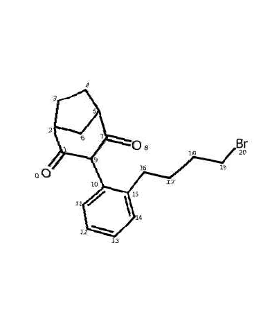 O=C1C2CCC(C2)C(=O)C1c1ccccc1CCCCBr